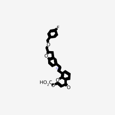 O=C(O)Oc1cc(=O)c2cccc(/C=C/c3ccc4c(c3)CC(COCc3ccc(F)cc3)O4)c2o1